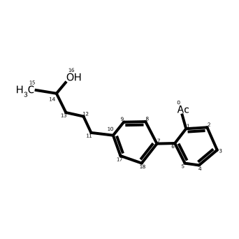 CC(=O)c1ccccc1-c1ccc(CCCC(C)O)cc1